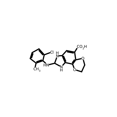 Cc1cccc(Cl)c1NC1Nc2cc(C(=O)O)c3c(c2N1)OCCO3